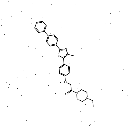 CCN1CCN(C(=O)COc2ccc(-c3sc(-c4ccc(-c5ccccc5)cc4)nc3C)cc2)CC1